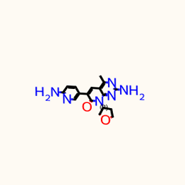 Cc1nc(N)nc2c1cc(-c1ccc(N)nc1)c(=O)n2[C@@H]1CCOC1